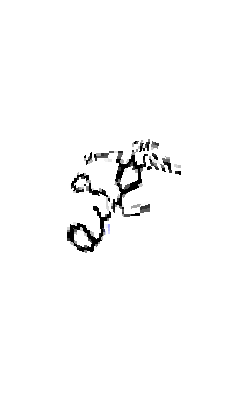 COc1cc(C(=O)N(CCN2CCCC2)C/C(C)=C/c2ccccc2)cc(OC)c1OC